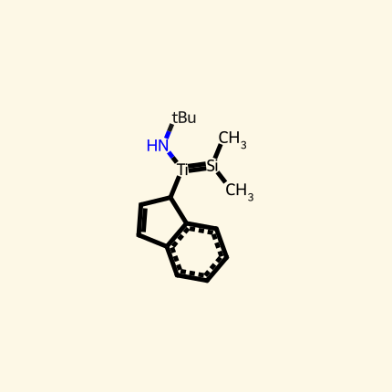 C[Si](C)=[Ti]([NH]C(C)(C)C)[CH]1C=Cc2ccccc21